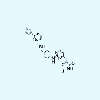 O=C1NC(=O)C(=Cc2ccnc(N[C@H]3CC[C@H](CNCc4cccc(-c5ccsc5)n4)CC3)n2)S1